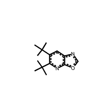 CC(C)(C)c1cc2ncoc2nc1C(C)(C)C